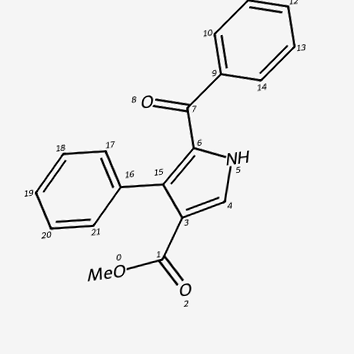 COC(=O)c1c[nH]c(C(=O)c2ccccc2)c1-c1ccccc1